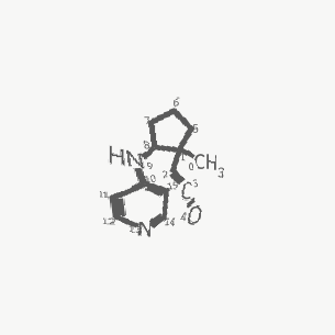 CC1(C=C=O)CCCC1Nc1ccncc1